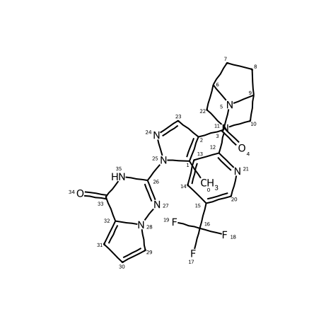 Cc1c(C(=O)N2C3CCC2CN(c2ccc(C(F)(F)F)cn2)C3)cnn1-c1nn2cccc2c(=O)[nH]1